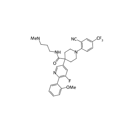 CNCCCNC(=O)C1(c2cnc(-c3ccccc3OC)c(F)c2)CCN(c2ccc(C(F)(F)F)cc2C#N)CC1